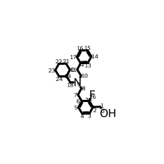 OCc1cccc(CCN(CCc2ccccc2)CC2CCCCC2)c1F